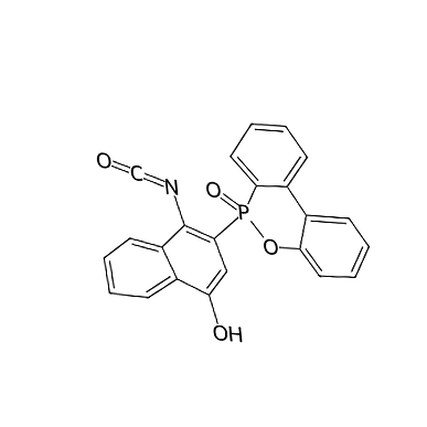 O=C=Nc1c(P2(=O)Oc3ccccc3-c3ccccc32)cc(O)c2ccccc12